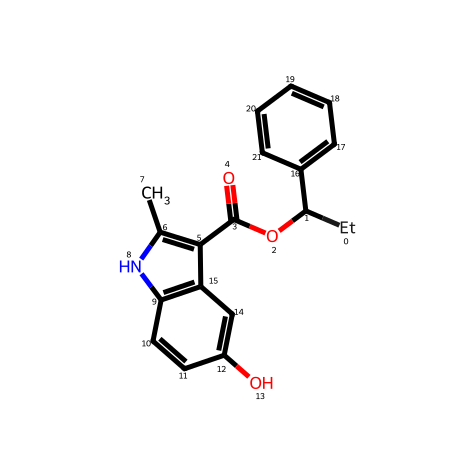 CCC(OC(=O)c1c(C)[nH]c2ccc(O)cc12)c1ccccc1